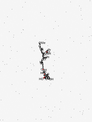 CCC(COCc1cn(CCOCCOC)nn1)(COCC(CC)(COCc1cn(CCCCCC(=O)NCC(=O)Nc2ccc3c(c2)C(=O)OC32c3ccc(O)cc3Oc3cc(O)ccc32)nn1)COC(C)C)COCC(CC)(CO)CC(C)C